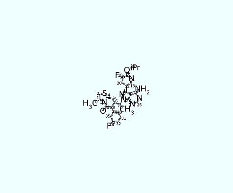 Cc1csc2cc([C@H](C)n3nc(-c4cnc(OC(C)C)c(F)c4)c4c(N)ncnc43)c(-c3cccc(F)c3)c(=O)n12